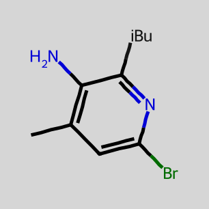 CCC(C)c1nc(Br)cc(C)c1N